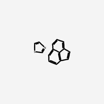 C1=Cc2cccc3cccc1c23.c1cscn1